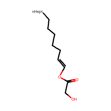 CCCCCCCCCCCCC=COC(=O)CO